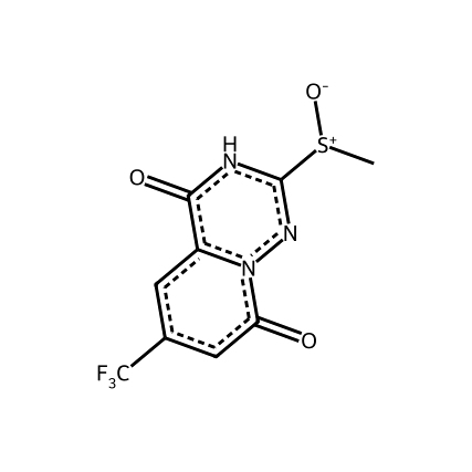 C[S+]([O-])c1nn2c(=O)cc(C(F)(F)F)cc2c(=O)[nH]1